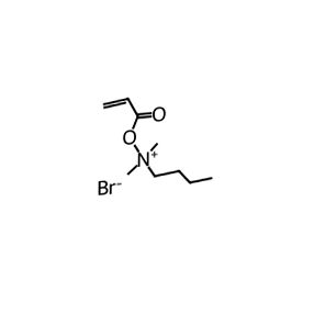 C=CC(=O)O[N+](C)(C)CCCC.[Br-]